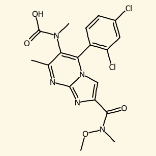 CON(C)C(=O)c1cn2c(-c3ccc(Cl)cc3Cl)c(N(C)C(=O)O)c(C)nc2n1